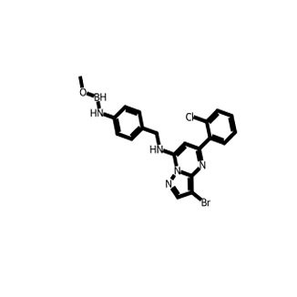 COBNc1ccc(CNc2cc(-c3ccccc3Cl)nc3c(Br)cnn23)cc1